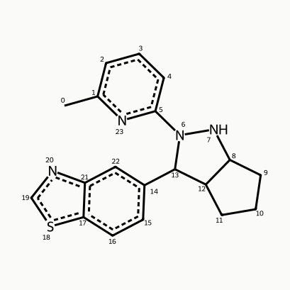 Cc1cccc(N2NC3CCCC3C2c2ccc3scnc3c2)n1